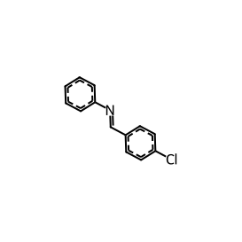 Clc1ccc(C=Nc2ccccc2)cc1